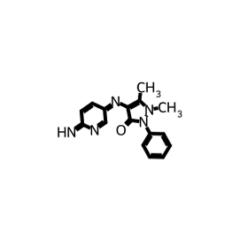 Cc1c(N=C2C=CC(=N)N=C2)c(=O)n(-c2ccccc2)n1C